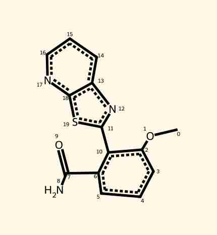 COc1cccc(C(N)=O)c1-c1nc2cccnc2s1